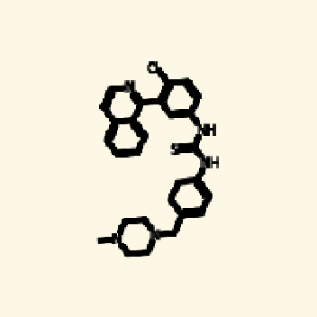 CN1CCN(CC2=CC=C(NC(=S)Nc3ccc(Cl)c(-c4nccc5ccccc45)c3)CC2)CC1